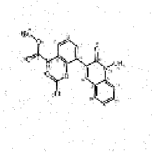 CCC(=O)Oc1c(NC(=O)OC(C)(C)C)cccc1-c1cc2ccccc2n(C)c1=O